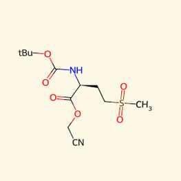 CC(C)(C)OC(=O)N[C@@H](CCS(C)(=O)=O)C(=O)OCC#N